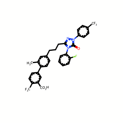 Cc1cc(CCCc2nn(-c3ccc(C(F)(F)F)cc3)c(=O)n2-c2ccccc2F)ccc1-c1ccc(C(F)(F)F)c(C(=O)O)c1